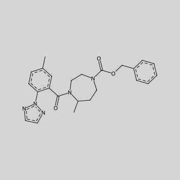 Cc1ccc(-n2nccn2)c(C(=O)N2CCN(C(=O)OCc3ccccc3)CCC2C)c1